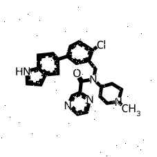 CN1CCC(N(Cc2cc(-c3ccc4[nH]ccc4c3)ccc2Cl)C(=O)c2cnccn2)CC1